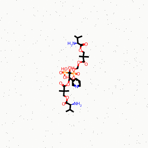 CC(C)[C@H](N)C(=O)OCC(C)(C)C(=O)OCOP(=O)(OCOC(=O)C(C)(C)COC(=O)[C@@H](N)C(C)C)C(O)(Cc1cccnc1)P(=O)(O)O